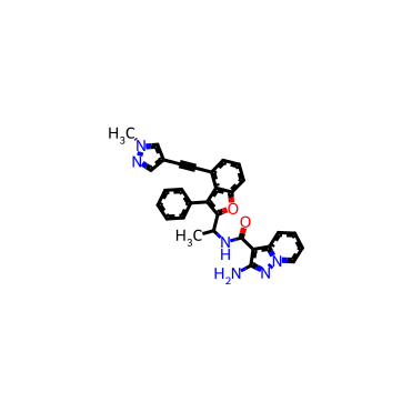 CC(NC(=O)c1c(N)nn2ccccc12)c1oc2cccc(C#Cc3cnn(C)c3)c2c1-c1ccccc1